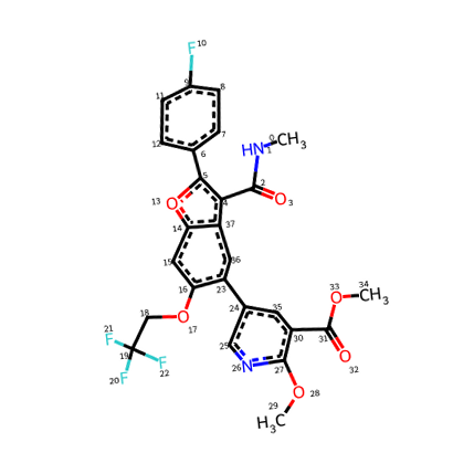 CNC(=O)c1c(-c2ccc(F)cc2)oc2cc(OCC(F)(F)F)c(-c3cnc(OC)c(C(=O)OC)c3)cc12